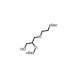 CCCCCCCCCCCCOCC(CO)OCCCCCCCCCC